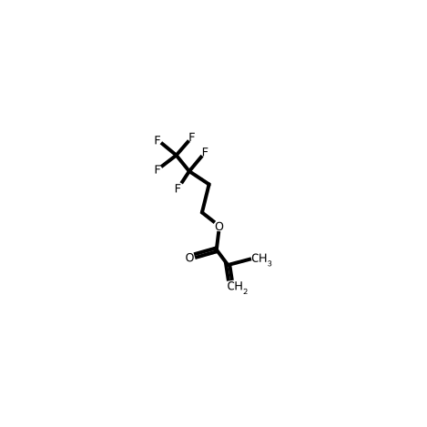 C=C(C)C(=O)OCCC(F)(F)C(F)(F)F